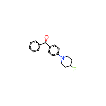 O=C(c1ccccc1)c1ccc(N2CCC(F)CC2)cc1